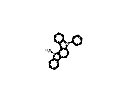 Nn1c2ccccc2c2ccc3c(c4ccccc4n3-c3ccccc3)c21